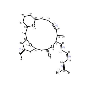 C/C=C1\CC2CC(=O)OC(/C=C/C=C\C=C(/C)CC)C(C)/C=C\CCC3CCCC(CC(C1)O2)O3